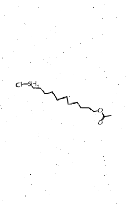 CC(=O)OCCCCCCCCCCC[SiH2]Cl